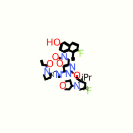 C#Cc1c(F)ccc2cc(O)cc(N3Cc4nc(OC[C@]5(C(C)C)C[C@@H](F)CN5C5CCOCC5)nc(N(C)C[C@@H]5CCCN5C(=O)C=C)c4OC3=O)c12